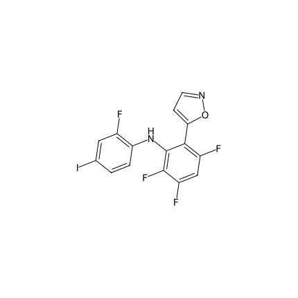 Fc1cc(I)ccc1Nc1c(F)c(F)cc(F)c1-c1ccno1